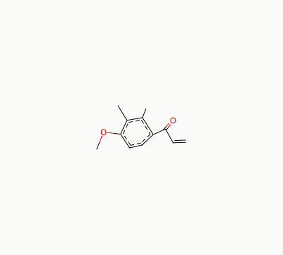 C=CC(=O)c1ccc(OC)c(C)c1C